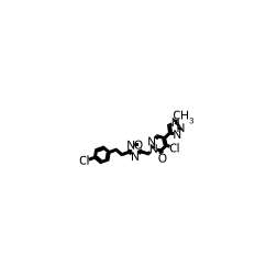 Cn1cc(-c2cnn(Cc3nc(CCc4ccc(Cl)cc4)no3)c(=O)c2Cl)nn1